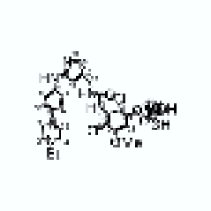 CCN1CCN(c2ccc(Nc3cc(CNC(=O)Nc4c(Cl)c(OC)cc(OC)c4Cl)ncn3)cc2)CC1.O=P(O)(O)O